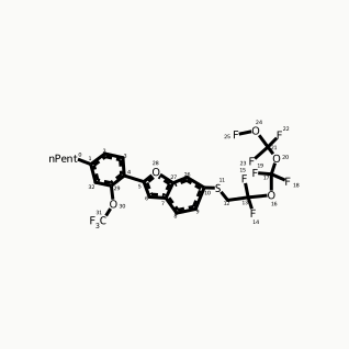 CCCCCc1ccc(-c2cc3ccc(SCC(F)(F)OC(F)(F)OC(F)(F)OF)cc3o2)c(OC(F)(F)F)c1